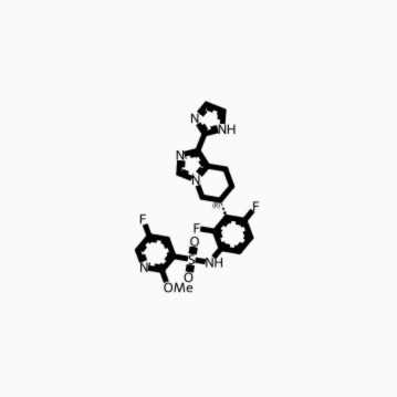 COc1ncc(F)cc1S(=O)(=O)Nc1ccc(F)c([C@H]2CCc3c(-c4ncc[nH]4)ncn3C2)c1F